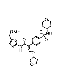 COCc1cnc(NC(=O)/C(=N/O[C@@H]2CCOC2)c2ccc(S(=O)(=O)NC3CCOCC3)cc2)s1